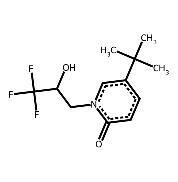 CC(C)(C)c1ccc(=O)n(CC(O)C(F)(F)F)c1